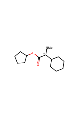 CN[C@H](C(=O)OC1CCCC1)C1CCCCC1